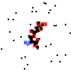 COC(=O)C(N)C(C)OC(=O)CCS(=O)(=O)O